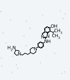 CC(C)c1c(O)ccc2cnc(Nc3ccc(N4CCC(CCCN5CCC(N)C5)CC4)cc3)nc12